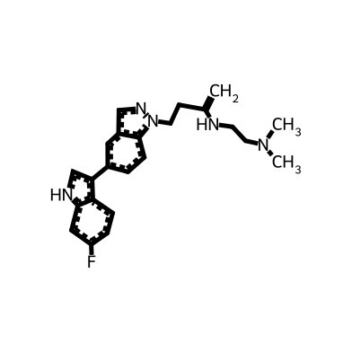 C=C(CCn1ncc2cc(-c3c[nH]c4cc(F)ccc34)ccc21)NCCN(C)C